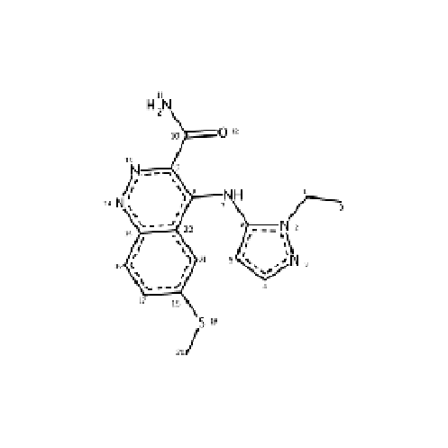 CCn1nccc1Nc1c(C(N)=O)nnc2ccc(SC)cc12